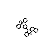 O=P(c1ccccc1)(c1ccccc1)c1ccc(-c2c3ccccc3nc3c2ccc2ccccc23)cc1